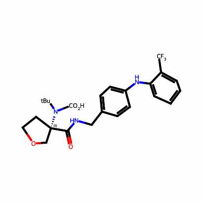 CC(C)(C)N(C(=O)O)[C@@]1(C(=O)NCc2ccc(Nc3ccccc3C(F)(F)F)cc2)CCOC1